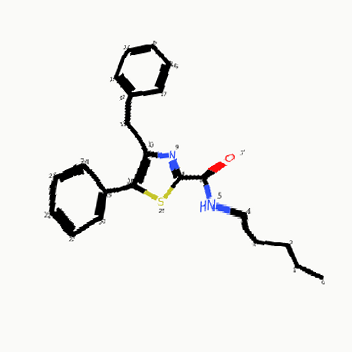 CCCCCNC(=O)c1nc(Cc2ccccc2)c(-c2ccccc2)s1